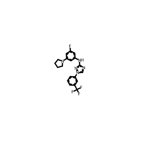 Fc1cc(Nc2ncn(-c3cccc(C(F)(F)F)c3)n2)cc(N2CCCC2)c1